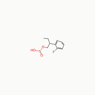 CCC(COS(=O)O)c1ccccc1F